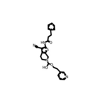 N#Cc1c(NC(=O)CCc2ccccc2)sc2c1CCN(C(O)OCCc1cccnc1)C2